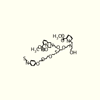 COC(=O)c1cccc(CN(CCO)CCOCC(CSCCOCCOCCOc2ccc(N=C=S)cc2)OCCN(CCO)Cc2cccc(C(=O)OC)n2)n1